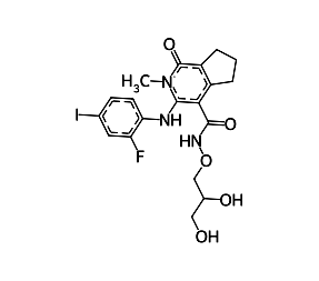 Cn1c(Nc2ccc(I)cc2F)c(C(=O)NOCC(O)CO)c2c(c1=O)CCC2